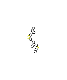 c1ccc2cc3c(cc2c1)sc1ccc2c4ccc(-c5ccc6sc7ccc(-c8cccc9c8ccc8ccccc89)cc7c6c5)cc4c4ccccc4c2c13